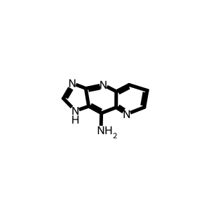 Nc1c2ncccc2nc2nc[nH]c12